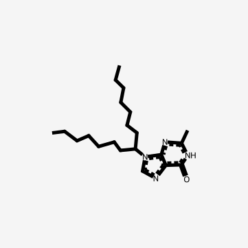 CCCCCCCC(CCCCCCC)n1cnc2c(=O)[nH]c(C)nc21